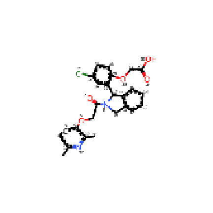 Cc1ccc(OCC(=O)N2Cc3ccccc3C2c2cc(Cl)ccc2OCC(=O)O)c(C)n1